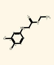 CCOC(=O)CNc1ccc(Cl)c(Cl)c1